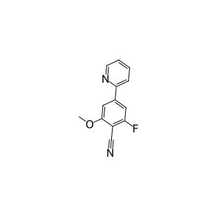 COc1cc(-c2ccccn2)cc(F)c1C#N